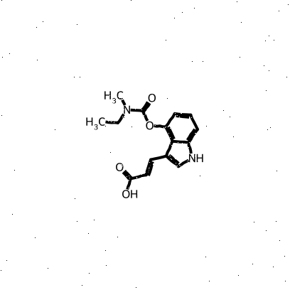 CCN(C)C(=O)Oc1cccc2[nH]cc(C=CC(=O)O)c12